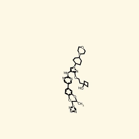 C[C@@H](Cn1cnnn1)Oc1cc(-c2cnc(Nc3cn(C4CCC(N5CCOCC5)CC4)nc3OCCC3(O)CCC3)nc2)ccc1Cl